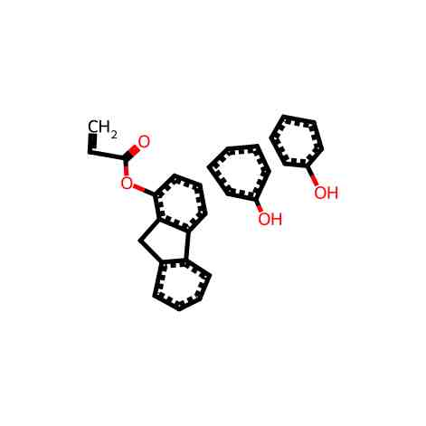 C=CC(=O)Oc1cccc2c1Cc1ccccc1-2.Oc1ccccc1.Oc1ccccc1